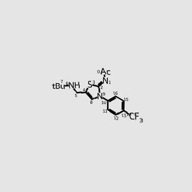 CC(=O)N=c1sc(CNC(C)(C)C)cn1-c1ccc(C(F)(F)F)cc1